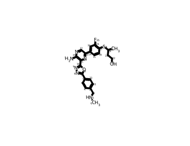 CNCc1ccc(-c2nnc(-c3nc(-c4ccc(SC(C)CCO)c(F)c4)cnc3N)o2)cc1